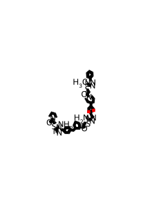 Cn1c(SCC(=O)N2CCCC(c3ccc(-c4nnc(SCC(=O)N5CCCC(Cc6ccc(-c7nnc(SCC(=O)N8CCCC8)n7N)cc6)C5)n4N)cc3)CC2)nnc1-c1ccccc1